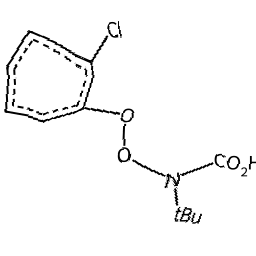 CC(C)(C)N(OOc1ccccc1Cl)C(=O)O